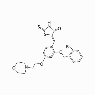 O=C1NC(=S)S/C1=C\c1ccc(OCCN2CCOCC2)cc1OCc1ccccc1Br